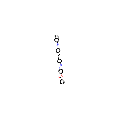 Bc1ccc(N=Nc2ccc(/C=C/c3ccc(N=Nc4ccc(OC(=O)c5ccccc5)cc4)cc3)cc2)cc1